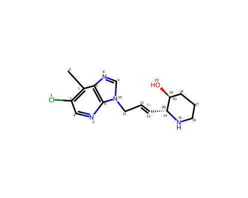 Cc1c(Cl)cnc2c1ncn2C/C=C/[C@H]1NCCC[C@@H]1O